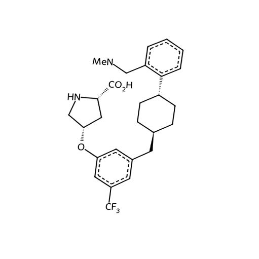 CNCc1ccccc1[C@H]1CC[C@H](Cc2cc(O[C@@H]3CN[C@H](C(=O)O)C3)cc(C(F)(F)F)c2)CC1